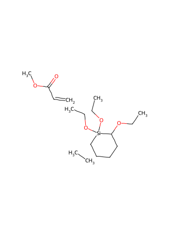 C=CC(=O)OC.CC.CCOC1CCCC[Si]1(OCC)OCC